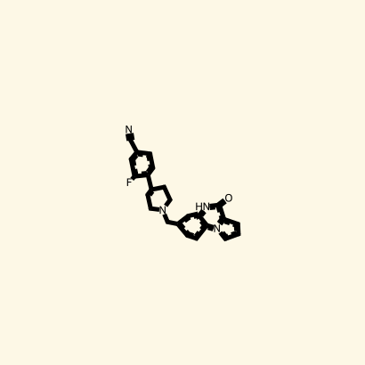 N#Cc1ccc(C2=CCN(Cc3ccc4c(c3)[nH]c(=O)c3cccn34)CC2)c(F)c1